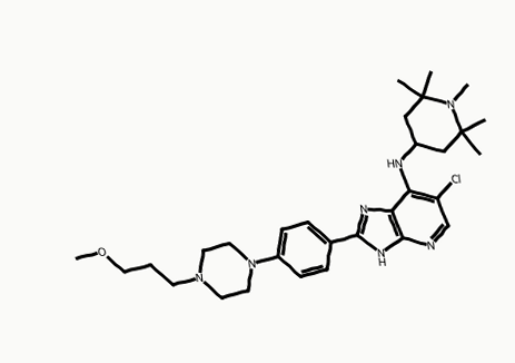 COCCCN1CCN(c2ccc(-c3nc4c(NC5CC(C)(C)N(C)C(C)(C)C5)c(Cl)cnc4[nH]3)cc2)CC1